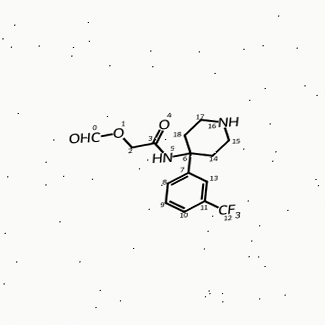 O=COCC(=O)NC1(c2cccc(C(F)(F)F)c2)CCNCC1